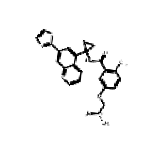 Cc1ccc(OC[C@H](C)N)cc1C(=O)NC1(c2cc(-c3nccs3)cc3ncccc23)CC1